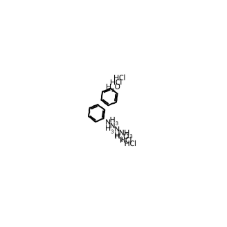 Cl.Cl.Cl.Cl.N.N.N.N.O.O.c1ccccc1.c1ccccc1